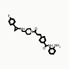 Nc1ccccc1NC(=O)c1ccc(/C=C/C(=O)N2CCC(CNC3CC3c3ccc(F)cc3)CC2)cc1